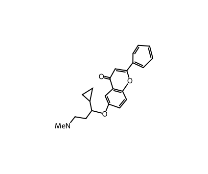 CNCCC(Oc1ccc2oc(-c3ccccc3)cc(=O)c2c1)C1CC1